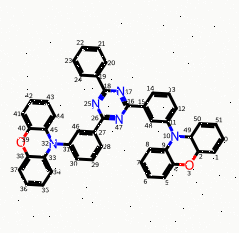 C1=CC2Oc3ccccc3N(c3cccc(-c4nc(-c5ccccc5)nc(-c5cccc(N6c7ccccc7Oc7ccccc76)c5)n4)c3)C2C=C1